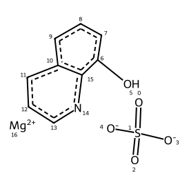 O=S(=O)([O-])[O-].Oc1cccc2cccnc12.[Mg+2]